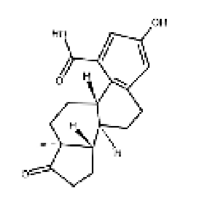 C[C@]12CC[C@@H]3c4c(cc(O)cc4C(=O)O)CC[C@H]3[C@@H]1CCC2=O